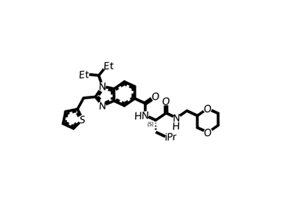 CCC(CC)n1c(Cc2cccs2)nc2cc(C(=O)N[C@@H](CC(C)C)C(=O)NCC3COCCO3)ccc21